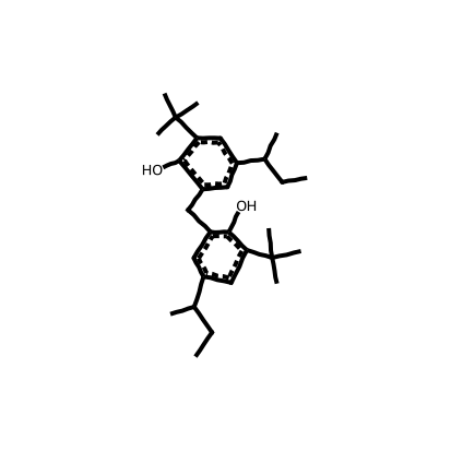 CCC(C)c1cc(Cc2cc(C(C)CC)cc(C(C)(C)C)c2O)c(O)c(C(C)(C)C)c1